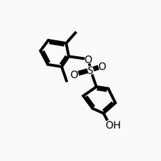 Cc1cccc(C)c1OS(=O)(=O)c1ccc(O)cc1